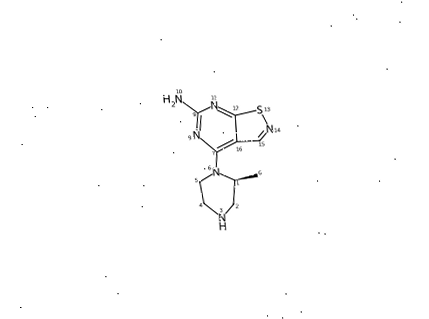 C[C@H]1CNCCN1c1nc(N)nc2sncc12